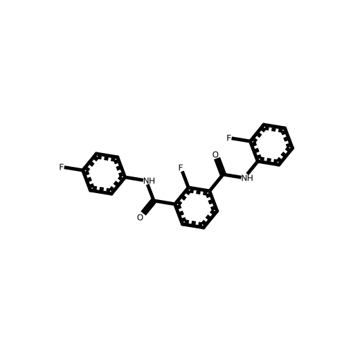 O=C(Nc1ccc(F)cc1)c1cccc(C(=O)Nc2ccccc2F)c1F